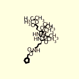 CC(C)(C)OC(=O)CC[C@H](NC(=O)N[C@H](CCCCNC(=O)OCc1ccccc1)C(=O)OC(C)(C)C)C(=O)OC(C)(C)C